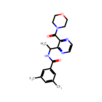 CC(NC(=O)c1cc(C(F)(F)F)cc(C(F)(F)F)c1)c1nccnc1C(=O)N1CCOCC1